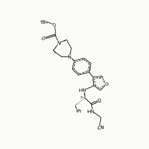 CC(C)C[C@H](Nc1conc1-c1ccc(N2CCN(C(=O)OC(C)(C)C)CC2)cc1)C(=O)NCC#N